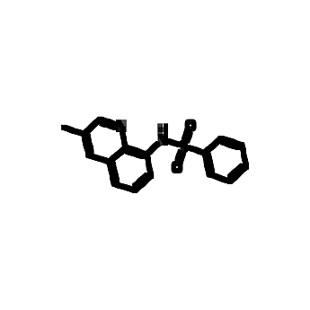 Cc1cnc2c(NS(=O)(=O)c3ccccc3)cccc2c1